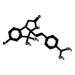 CN(C)c1ccc(C=CC23NC(=O)CN2c2ccc(Br)cc2C3(C)C)cc1